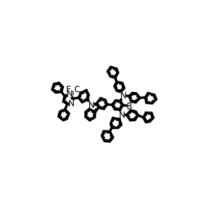 FC(F)(F)c1ccc(-n2c3ccccc3c3cc(-c4cc5c6c(c4)N(c4ccc(-c7ccccc7)cc4)c4ccc(-c7ccccc7)cc4B6c4cc(-c6ccccc6)ccc4N5c4ccc(-c5ccccc5)cc4)ccc32)cc1-c1nc(-c2ccccc2)cc(-c2ccccc2)n1